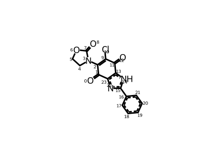 O=C1C(N2CCOC2=O)=C(Cl)C(=O)c2[nH]c(-c3ccccc3)nc21